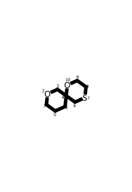 C1COCC2(C1)CSCCO2